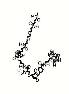 CCNC(=O)CCC(=O)NCCOCCOCCNC(=O)CCC(=O)N[C@@H](CCCCNC(=O)[C@H](N)CSC1CC(=O)N(CC2CCC(C(=O)NCCCC(O)(O[PH](=O)O)O[PH](=O)O)CC2)C1=O)C(N)=O